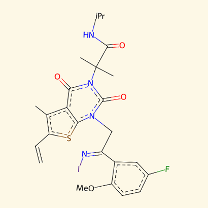 C=Cc1sc2c(c1C)c(=O)n(C(C)(C)C(=O)NC(C)C)c(=O)n2C/C(=N/I)c1cc(F)ccc1OC